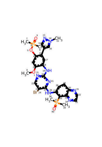 COc1cc(OP(C)(C)=O)c(-c2cnn(C)c2)cc1Nc1ncc(Br)c(Nc2ccc3nccnc3c2P(C)(C)=O)n1